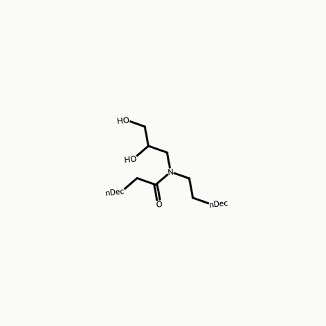 CCCCCCCCCCCCN(CC(O)CO)C(=O)CCCCCCCCCCC